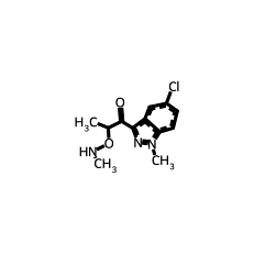 CNOC(C)C(=O)c1nn(C)c2ccc(Cl)cc12